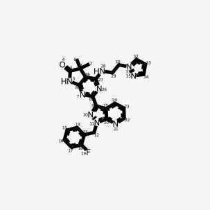 CC1(C)C(=O)Nc2nc(-c3nn(Cc4ccccc4F)c4ncccc34)nc(NCCn3cccn3)c21